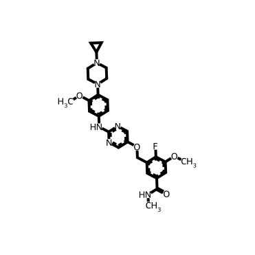 CNC(=O)c1cc(COc2cnc(Nc3ccc(N4CCN(C5CC5)CC4)c(OC)c3)nc2)c(F)c(OC)c1